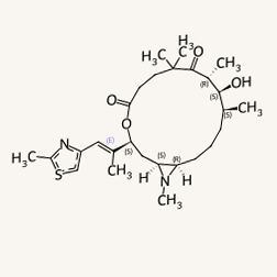 C/C(=C\c1csc(C)n1)[C@@H]1C[C@H]2[C@@H](CCC[C@H](C)[C@H](O)[C@@H](C)C(=O)C(C)(C)CCC(=O)O1)N2C